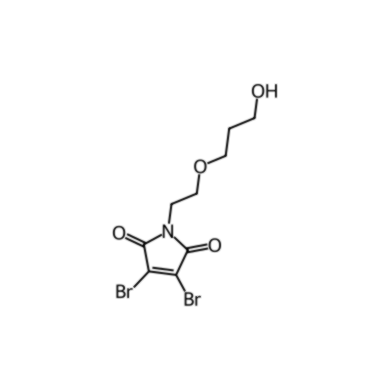 O=C1C(Br)=C(Br)C(=O)N1CCOCCCO